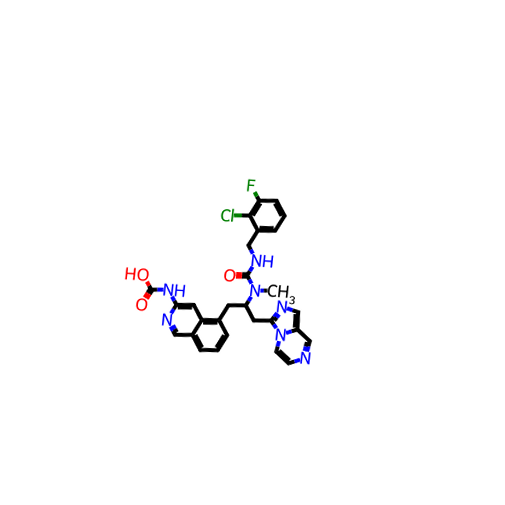 CN(C(=O)NCc1cccc(F)c1Cl)C(Cc1cccc2cnc(NC(=O)O)cc12)Cc1ncc2cnccn12